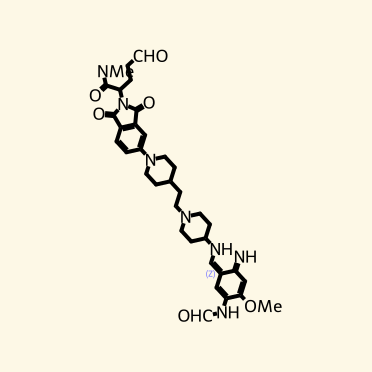 CNC(=O)C(CCC=O)N1C(=O)c2ccc(N3CCC(CCN4CCC(N/C=C5/C=C(NC=O)C(OC)=CC5=N)CC4)CC3)cc2C1=O